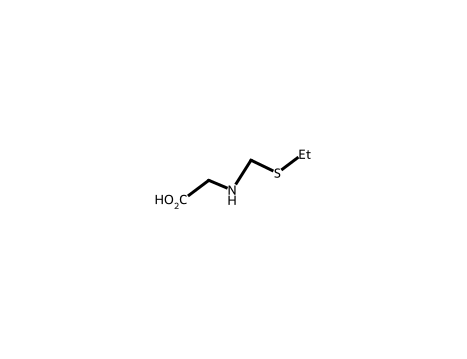 CCSCNCC(=O)O